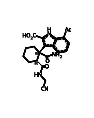 CC(=O)c1cccc2c([C@]3(C(N)=O)CCCC[C@H]3C(=O)NCC#N)c(C(=O)O)[nH]c12